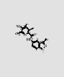 Cc1c(C(=O)Nc2ccc3[nH]nc(C)c3c2)nc(Cl)c(C#N)c1C